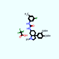 COc1ccc(C23CCC(NC(=O)Nc4cc(F)cc(C(F)(F)F)c4)CC2N(C(C)C)CC3)cc1OC.O=C(O)C(F)(F)F